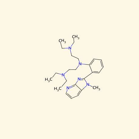 CCN(CC)CCN(CCN(CC)CC)c1ccccc1-c1nc2ncccc2n1C